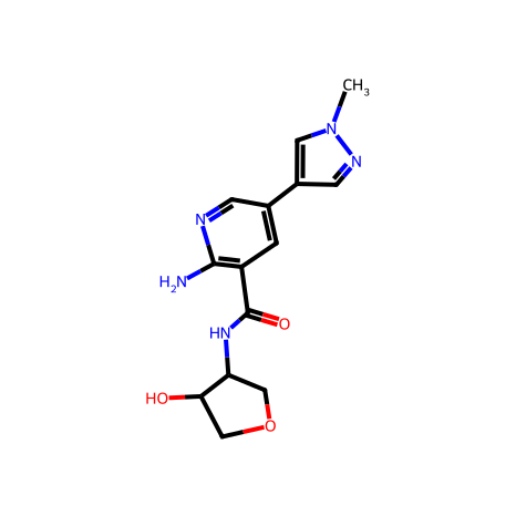 Cn1cc(-c2cnc(N)c(C(=O)NC3COCC3O)c2)cn1